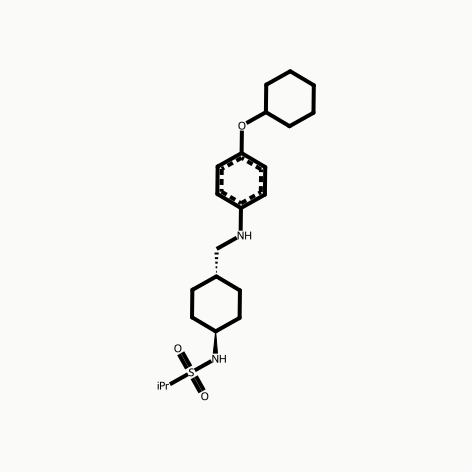 CC(C)S(=O)(=O)N[C@H]1CC[C@H](CNc2ccc(OC3CCCCC3)cc2)CC1